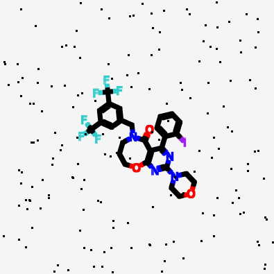 O=C1c2c(nc(N3CCOCC3)nc2-c2ccccc2I)OCCCN1Cc1cc(C(F)(F)F)cc(C(F)(F)F)c1